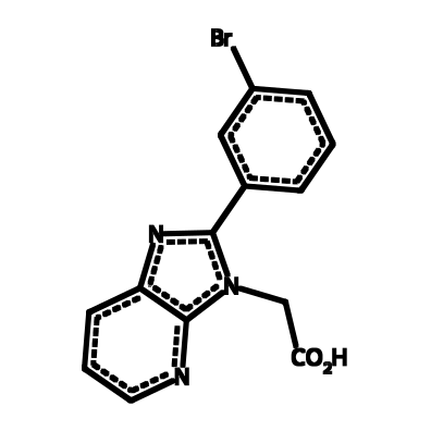 O=C(O)Cn1c(-c2cccc(Br)c2)nc2cccnc21